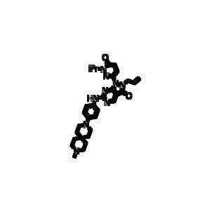 C=CCn1c(=O)c2cnc(Nc3ccc(N4CCC5(CCN(C)CC5)CC4)cc3)nc2n1-c1ccc(=O)n(C(C)C)n1